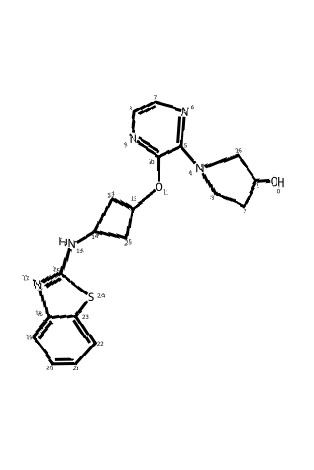 OC1CCN(c2nccnc2OC2CC(Nc3nc4ccccc4s3)C2)C1